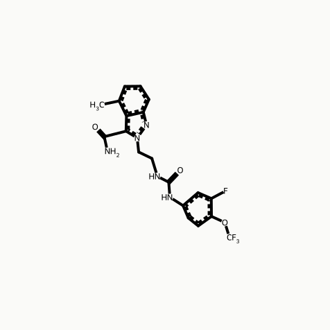 Cc1cccc2nn(CCNC(=O)Nc3ccc(OC(F)(F)F)c(F)c3)c(C(N)=O)c12